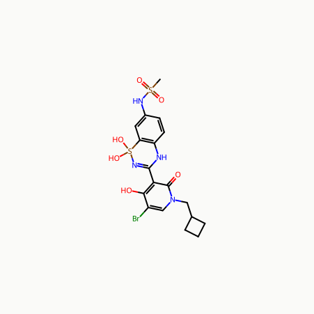 CS(=O)(=O)Nc1ccc2c(c1)S(O)(O)N=C(c1c(O)c(Br)cn(CC3CCC3)c1=O)N2